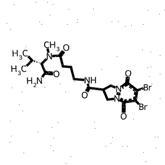 CC(C)[C@@H](C(N)=O)N(C)C(=O)CCCNC(=O)C1Cn2c(=O)c(Br)c(Br)c(=O)n2C1